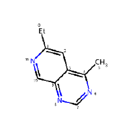 CCc1cc2c(C)ncnc2cn1